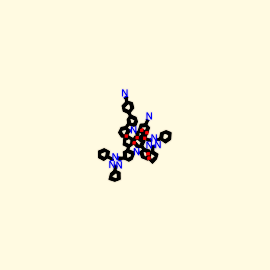 N#Cc1ccc(-c2ccc3c(c2)c2ccccc2n3-c2ccc(-c3nc(-c4ccccc4)nc(-c4ccccc4)n3)cc2-c2cccc(-c3cc(-c4nc(-c5ccccc5)nc(-c5ccccc5)n4)ccc3-n3c4ccccc4c4cc(-c5ccc(C#N)cc5)ccc43)c2)cc1